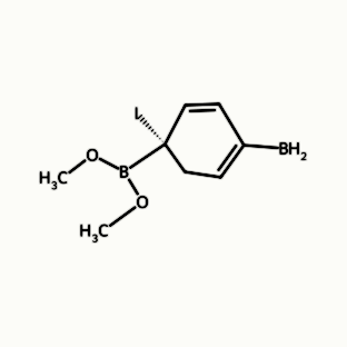 BC1=CC[C@@](I)(B(OC)OC)C=C1